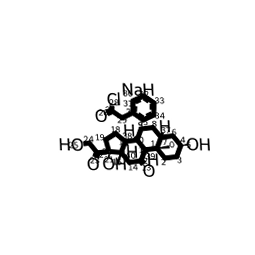 C[C@]12CC[C@@H](O)C[C@H]1CC[C@@H]1[C@@H]2C(=O)C[C@@]2(C)[C@H]1CC[C@]2(O)C(=O)CO.O=C(Cl)Cc1ccccc1.[NaH]